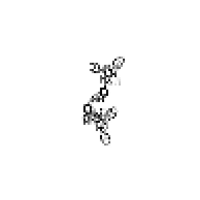 CC1COCCN1c1nc(N2CCOCC2)nc2[nH]c(-c3cc(CNCc4cccc(-c5nc6c(N7CCOCC7)nc(N7CCOCC7)nc6[nH]5)c4)ccc3Cl)nc12